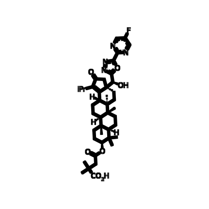 CC(C)C1=C2[C@H]3CC[C@@H]4[C@@]5(C)CC[C@H](OC(=O)CC(C)(C)C(=O)O)C(C)(C)[C@@H]5CC[C@@]4(C)[C@]3(C)CC[C@@]2([C@H](O)c2nnc(-c3ncc(F)cn3)o2)CC1=O